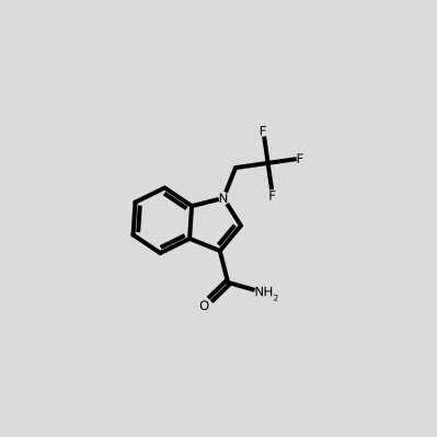 NC(=O)c1cn(CC(F)(F)F)c2ccccc12